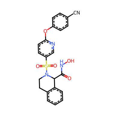 N#Cc1ccc(Oc2ccc(S(=O)(=O)N3CCc4ccccc4C3C(=O)NO)cn2)cc1